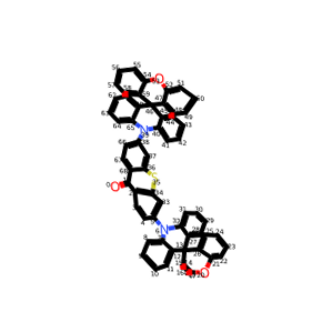 O=c1c2ccc(N3c4ccccc4C4(c5ccccc5Oc5ccccc54)c4ccccc43)cc2sc2cc(N3c4ccccc4C4(c5ccccc5Oc5ccccc54)c4ccccc43)ccc12